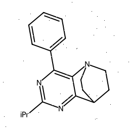 CC(C)c1nc(-c2ccccc2)c2c(n1)C1CCN2CC1